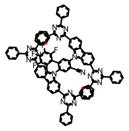 N#Cc1cc(-n2c3cc(-c4nc(-c5ccccc5)nc(-c5ccccc5)n4)ccc3c3ccc(-c4nc(-c5ccccc5)nc(-c5ccccc5)n4)cc32)c(-c2c(F)c(F)c(F)c(F)c2F)cc1-n1c2cc(-c3nc(-c4ccccc4)nc(-c4ccccc4)n3)ccc2c2ccc(-c3nc(-c4ccccc4)nc(-c4ccccc4)n3)cc21